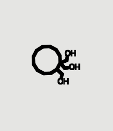 OCC1CCCCCCCCCCC1(CO)CO